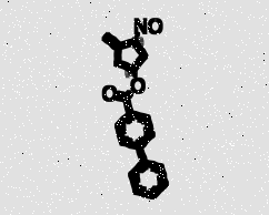 C=C1C[C@@H](OC(=O)c2ccc(-c3ccccc3)cc2)C[C@H]1N=O